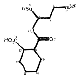 CCCCCCCCCCCCC(CCCC)OC(=O)C1CCCCC1C(=O)O